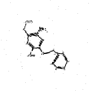 COc1cc(CC=O)c([N+](=O)[O-])cc1OCc1ccccc1